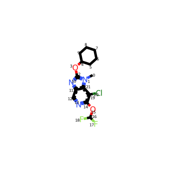 Cn1c(OC2CCCCC2)nc2cnc(OC(F)F)c(Cl)c21